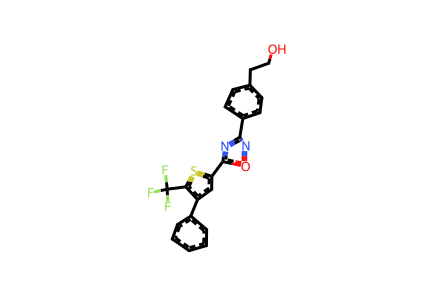 OCCc1ccc(-c2noc(-c3cc(-c4ccccc4)c(C(F)(F)F)s3)n2)cc1